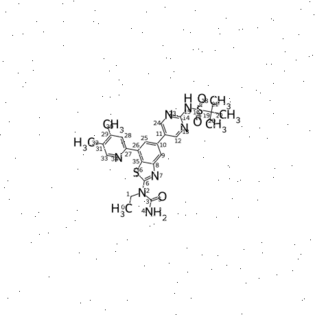 CCN(C(N)=O)c1nc2cc(-c3cnc(NS(=O)(=O)C(C)(C)C)nc3)cc(-c3cc(C)c(C)cn3)c2s1